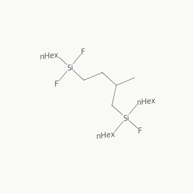 CCCCCC[Si](F)(F)CCC(C)C[Si](F)(CCCCCC)CCCCCC